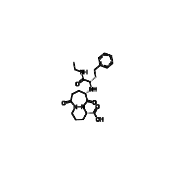 CCNC(=O)[C@H](CCc1ccccc1)N[C@H]1CCC(=O)N2CCC[C@@H](C(=O)O)N2C1=O